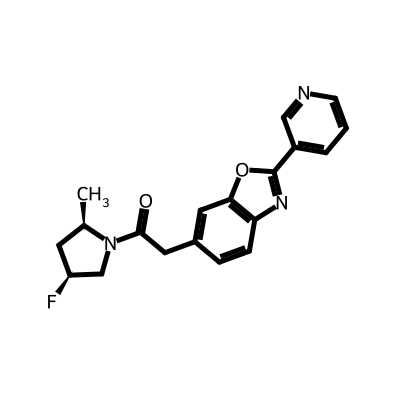 C[C@@H]1C[C@H](F)CN1C(=O)Cc1ccc2nc(-c3cccnc3)oc2c1